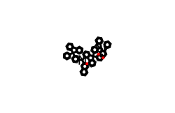 c1ccc(C2(c3cccc(N(c4ccc5ccccc5c4)c4cccc5c4-c4ccccc4C5(c4ccccc4)c4ccc5c(c4)[Si]4(c6ccccc6-c6ccccc64)c4ccccc4-5)c3)c3ccccc3-c3ccccc32)cc1